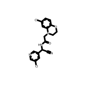 N#CC(NC(=O)CN1CCOc2ccc(Cl)cc21)c1cncc(Cl)c1